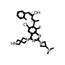 C/C(=C\C(O)=C/c1ccccc1C)c1c(Cl)cc2c(N3CC4(CNC4)C3)nc(N3CC(N(C)C)C3)nc2c1F